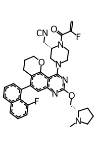 C=C(F)C(=O)N1CCN(c2nc(OC[C@@H]3CCCN3C)nc3cc(-c4cccc5cccc(F)c45)c4c(c23)OCCC4)C[C@@H]1CC#N